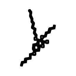 CCC=CCCOc1ccc2c(OCCCCCCCCCC)c(OCCC=CCC)c(=O)oc2c1